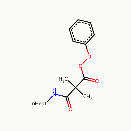 CCCCCCCNC(=O)C(C)(C)C(=O)OOc1ccccc1